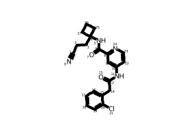 N#CCCC1(NC(=O)c2cc(NC(=O)Cc3ccccc3Cl)ccn2)CCC1